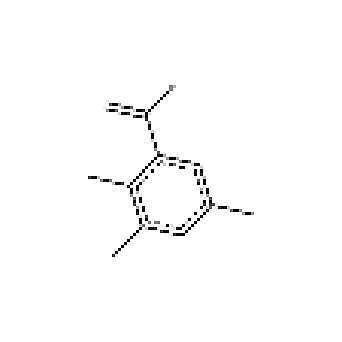 C=C(C)c1cc(C)cc(C)c1C